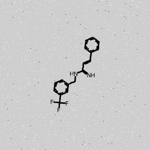 N=C(/C=C/c1ccccc1)NCc1cccc(C(F)(F)F)c1